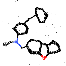 CN(Cc1ccc2c(c1)oc1ccccc12)c1ccc(Cc2ccccc2)cc1